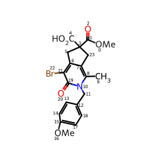 COC(=O)C1(C(=O)O)Cc2c(c(C)n(Cc3ccc(OC)cc3)c(=O)c2Br)C1